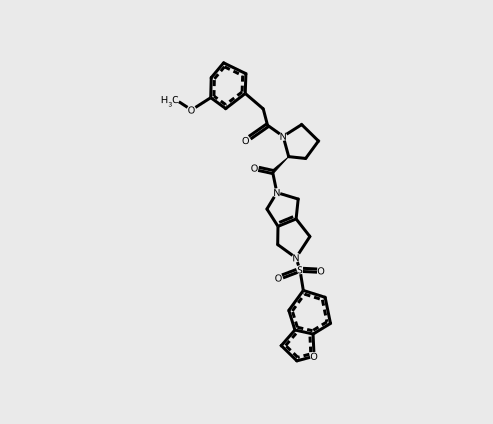 COc1cccc(CC(=O)N2CCC[C@H]2C(=O)N2CC3=C(C2)CN(S(=O)(=O)c2ccc4occc4c2)C3)c1